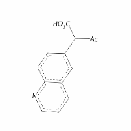 CC(=O)C(C(=O)O)c1ccc2ncccc2c1